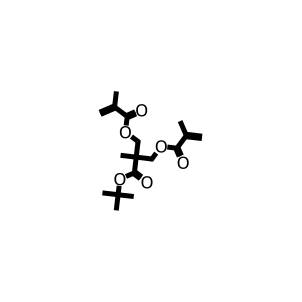 C=C(C)C(=O)OCC(C)(COC(=O)C(=C)C)C(=O)OC(C)(C)C